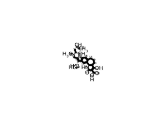 CN(C)CCN(C)Cc1cc2cc3c(cc2n1C)CCCc1c-3[nH]c(=O)c(C(=O)O)c1O.Cl.Cl